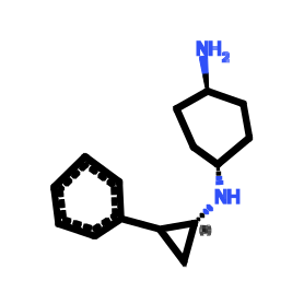 N[C@H]1CC[C@H](N[C@@H]2CC2c2ccccc2)CC1